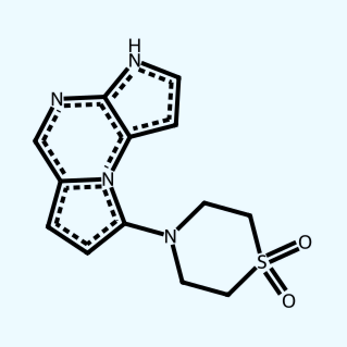 O=S1(=O)CCN(c2ccc3cnc4[nH]ccc4n23)CC1